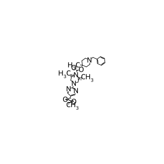 C[C@@H]1CN(c2ncc(S(C)(=O)=O)cn2)C[C@H](C)N1C(=O)OC1(C)CCN(Cc2ccccc2)CC1